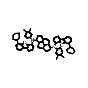 Cc1ccc(N(C2=C3C=CC4=CCC(N(c5ccc(C)c(C)c5)c5cccc6c5oc5c(C7CCCCC7)cccc56)C5=C4C3C(C=C5)C=C2)c2cccc3c2oc2c(C4CCCCC4)cccc23)cc1C